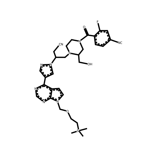 [C-]#[N+]c1ccc(C(=O)N2CCN(CC(CC#N)n3cc(-c4ncnc5c4ccn5COCC[Si](C)(C)C)cn3)C(CO)C2)c(F)c1